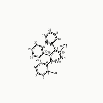 Cc1ccccc1-c1nnc(Cl)c(-c2ccccn2)c1-c1ccccc1